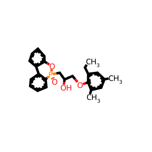 CCc1cc(C)cc(C)c1OCC(O)CP1(=O)Oc2ccccc2-c2ccccc21